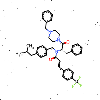 CC(C)Cc1ccc(CN(C(=O)/C=C/c2ccc(C(F)(F)F)cc2)[C@@H](Cc2ccccc2)C(=O)N2CCN(Cc3ccccc3)CC2)cc1